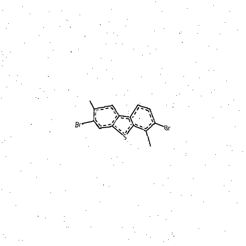 Cc1cc2c(cc1Br)sc1c(C)c(Br)ccc12